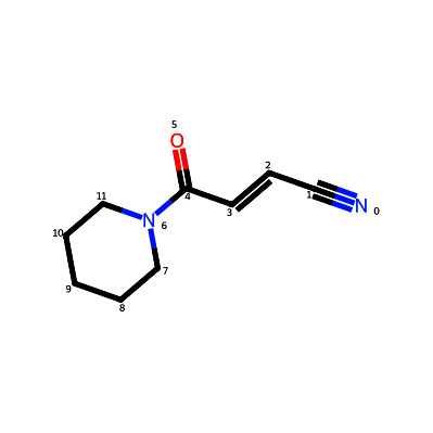 N#CC=CC(=O)N1CCCCC1